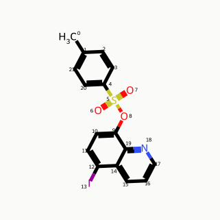 Cc1ccc(S(=O)(=O)Oc2ccc(I)c3cccnc23)cc1